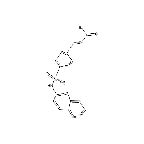 O=C(Cl)C=Cc1ccc(S(=O)(=O)Nc2ccc3ccccc3c2)cc1